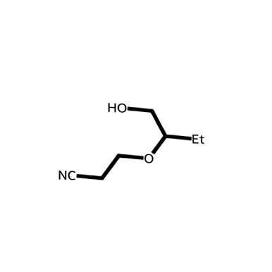 CCC(CO)OCCC#N